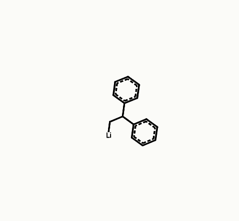 [Li][CH2]C(c1ccccc1)c1ccccc1